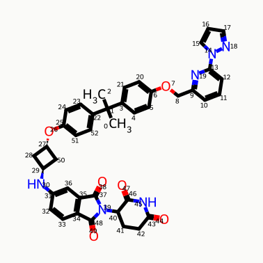 CC(C)(c1ccc(OCc2cccc(-n3cccn3)n2)cc1)c1ccc(O[C@H]2C[C@H](Nc3ccc4c(c3)C(=O)N(C3CCC(=O)NC3=O)C4=O)C2)cc1